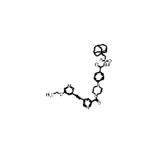 CCOc1cncc(C#Cc2cncc(C(=O)N3CCN(c4ccc(C(=O)NS(=O)(=O)CC56CC7CC(CC(C7)C5)C6)cc4)CC3)c2)c1